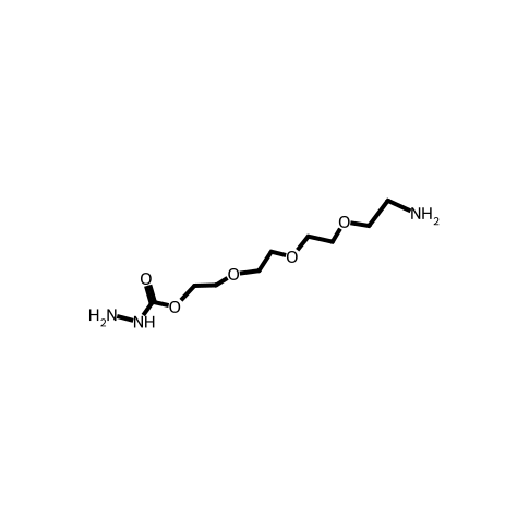 NCCOCCOCCOCCOC(=O)NN